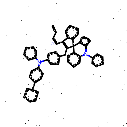 C=C/C=C\C1=C(Cc2ccc(N(c3ccccc3)c3ccc(-c4ccccc4)cc3)cc2)C2(c3ccccc31)c1ccccc1N(c1ccccc1)c1ccccc12